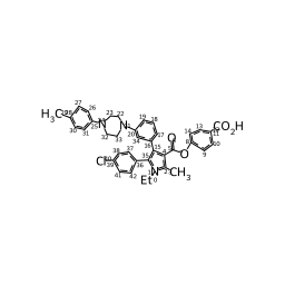 CCn1c(C)c(C(=O)Oc2ccc(C(=O)O)cc2)c(-c2cccc(N3CCN(c4ccc(C)cc4)CC3)c2)c1-c1ccc(Cl)cc1